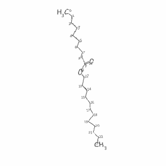 CCCCCCCC=CC(=O)OCCCCCCCCCCCC